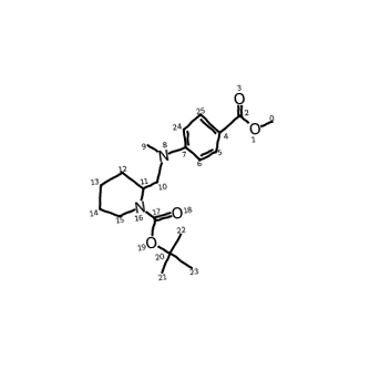 COC(=O)c1ccc(N(C)CC2CCCCN2C(=O)OC(C)(C)C)cc1